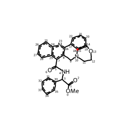 COC(=O)C(NC(=O)c1c(CN2CCOCC2)c(-c2ccccc2)nc2ccccc12)c1ccccc1